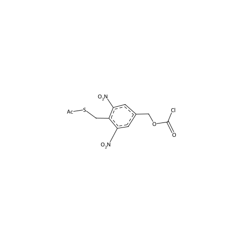 CC(=O)SCc1c([N+](=O)[O-])cc(COC(=O)Cl)cc1[N+](=O)[O-]